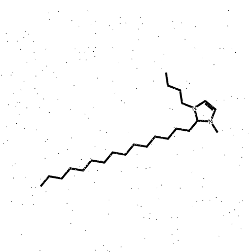 CCCCCCCCCCCCCCCC1N(C)C=CN1CCCC